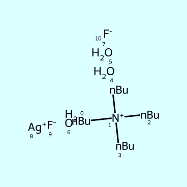 CCCC[N+](CCCC)(CCCC)CCCC.O.O.O.[Ag+].[F-].[F-]